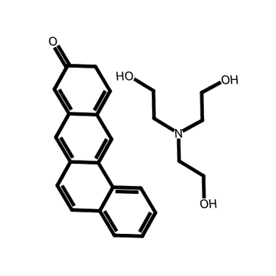 O=C1C=c2cc3ccc4ccccc4c3cc2=CC1.OCCN(CCO)CCO